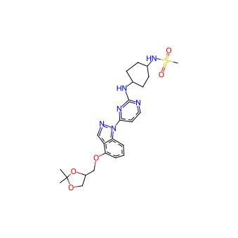 CC1(C)OCC(COc2cccc3c2cnn3-c2ccnc(NC3CCC(NS(C)(=O)=O)CC3)n2)O1